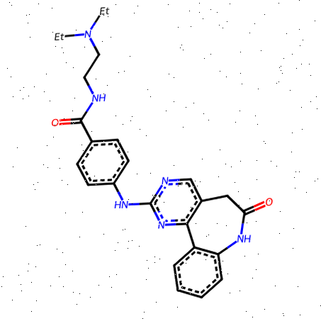 CCN(CC)CCNC(=O)c1ccc(Nc2ncc3c(n2)-c2ccccc2NC(=O)C3)cc1